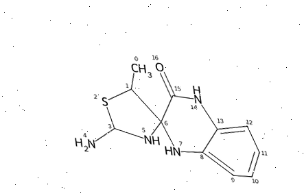 CC1SC(N)NC12Nc1ccccc1NC2=O